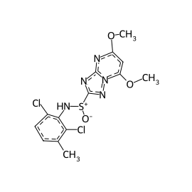 COc1cc(OC)n2nc([S+]([O-])Nc3c(Cl)ccc(C)c3Cl)nc2n1